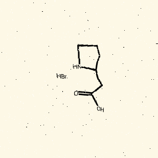 Br.O=C(O)CC1CCCN1